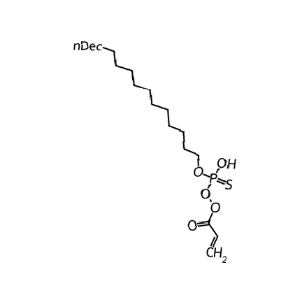 C=CC(=O)OOP(O)(=S)OCCCCCCCCCCCCCCCCCCCCC